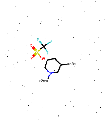 CCCCCN1CCCC(CCCC)C1.O=S(=O)(O)C(F)(F)F